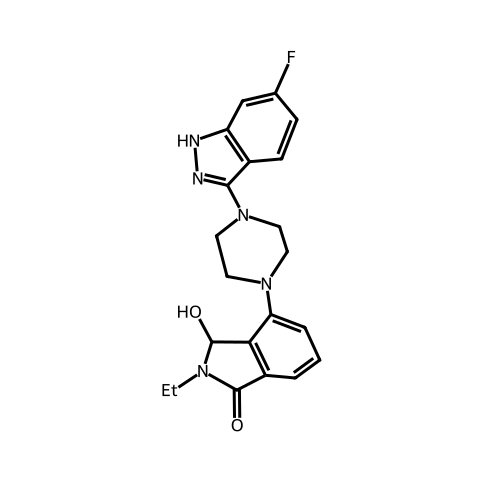 CCN1C(=O)c2cccc(N3CCN(c4n[nH]c5cc(F)ccc45)CC3)c2C1O